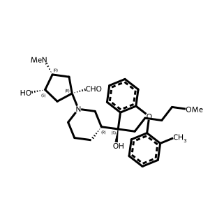 CN[C@@H]1C[C@@](C=O)(N2CCC[C@@H]([C@@](O)(CCCCOC)c3ccccc3Oc3ccccc3C)C2)C[C@@H]1O